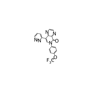 O=c1c2nccnc2c(-c2cccnn2)cn1-c1ccc(OC(F)(F)F)cc1